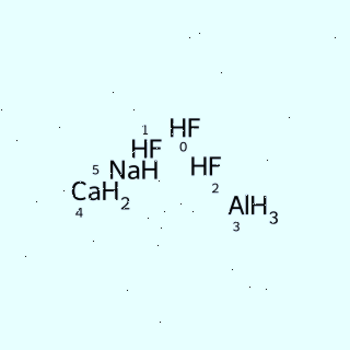 F.F.F.[AlH3].[CaH2].[NaH]